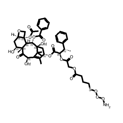 CC(=O)O[C@@]12CO[C@@H]1C[C@H](O)[C@@]1(C)C(=O)[C@H](O)C3=C(C)[C@@H](OC(=O)[C@H](OC(=O)COC(=O)CCCSOOON)[C@@H](C)c4ccccc4)C[C@@](O)([C@@H](OC(=O)c4ccccc4)[C@H]21)C3(C)C